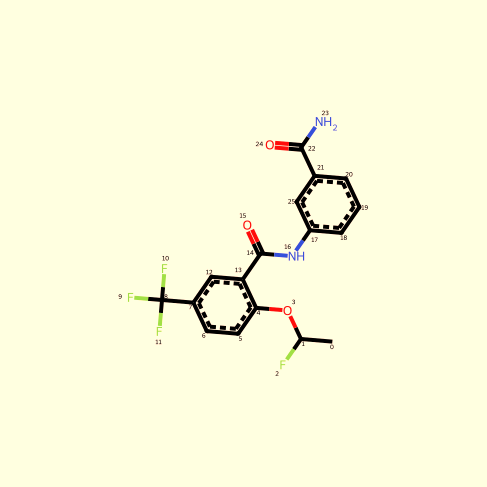 CC(F)Oc1ccc(C(F)(F)F)cc1C(=O)Nc1cccc(C(N)=O)c1